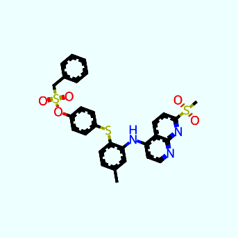 Cc1ccc(Sc2ccc(OS(=O)(=O)Cc3ccccc3)cc2)c(Nc2ccnc3nc(S(C)(=O)=O)ccc23)c1